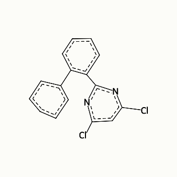 Clc1cc(Cl)nc(-c2ccccc2-c2ccccc2)n1